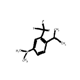 CC(C)c1ccc(N(C)C)cc1C(F)(F)F